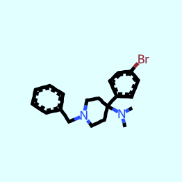 CN(C)C1(c2ccc(Br)cc2)CCN(Cc2ccccc2)CC1